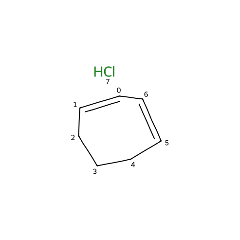 C1=CCCCC=C1.Cl